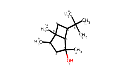 CC1CC(C)(O)C2C(C(C)(C)C)CC12C